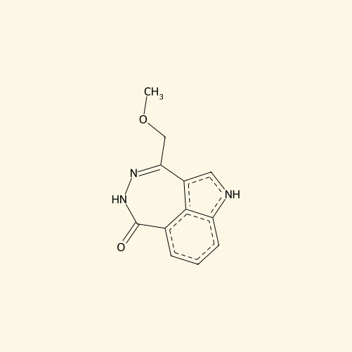 COCC1=NNC(=O)c2cccc3[nH]cc1c23